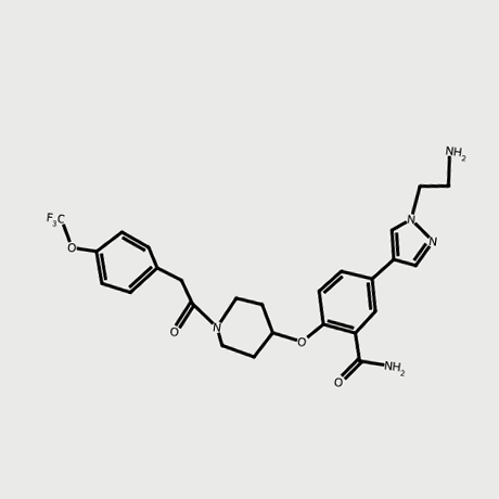 NCCn1cc(-c2ccc(OC3CCN(C(=O)Cc4ccc(OC(F)(F)F)cc4)CC3)c(C(N)=O)c2)cn1